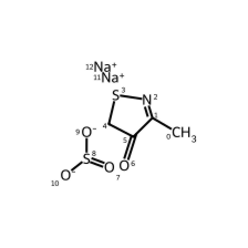 CC1=NSCC1=O.O=S([O-])[O-].[Na+].[Na+]